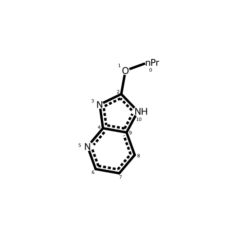 CCCOc1nc2ncccc2[nH]1